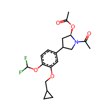 CC(=O)O[C@@H]1CC(c2ccc(OC(F)F)c(OCC3CC3)c2)CN1C(C)=O